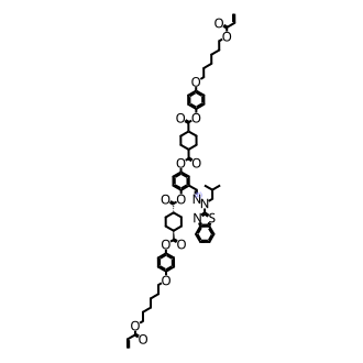 C=CC(=O)OCCCCCCOc1ccc(OC(=O)C2CCC(C(=O)Oc3ccc(OC(=O)[C@H]4CC[C@H](C(=O)Oc5ccc(OCCCCCCOC(=O)C=C)cc5)CC4)c(/C=N/N(CC(C)C)c4nc5ccccc5s4)c3)CC2)cc1